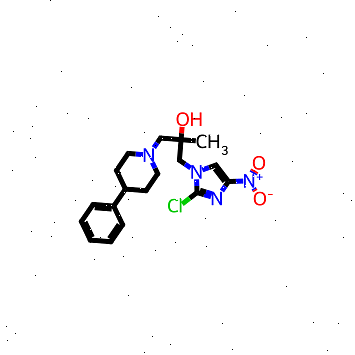 CC(O)(CN1CCC(c2ccccc2)CC1)Cn1cc([N+](=O)[O-])nc1Cl